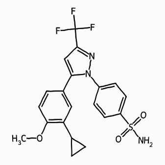 COc1ccc(-c2cc(C(F)(F)F)nn2-c2ccc(S(N)(=O)=O)cc2)cc1C1CC1